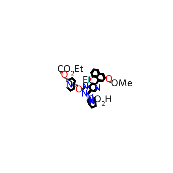 CCOC(=O)COC[C@@H]1CC[C@]2(COc3nc(N4CC5CCC(C4)N5C(=O)O)c4cnc(-c5cc(OCOC)cc6cccc(CC)c56)c(F)c4n3)CCCN12